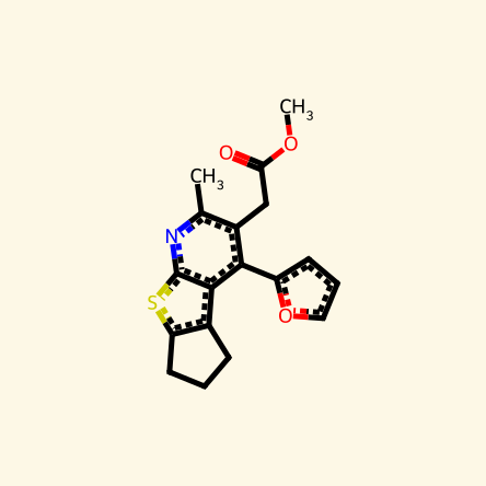 COC(=O)Cc1c(C)nc2sc3c(c2c1-c1ccco1)CCC3